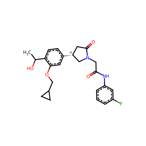 CC(O)c1ccc([C@@H]2CC(=O)N(CC(=O)Nc3cccc(F)c3)C2)cc1OCC1CC1